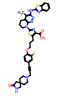 Cc1c(Nc2nc3ccccc3s2)nnc2c1CCCN2c1nc(C(=O)O)c(CCCOc2ccc(C#CCN3CCC4(CC3)CNC(=O)C4)cc2F)s1